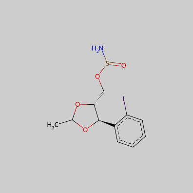 CC1O[C@H](c2ccccc2I)[C@@H](COS(N)=O)O1